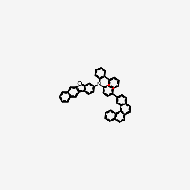 c1ccc(-c2ccccc2N(c2ccc(-c3ccc4ccc5ccc6ccccc6c5c4c3)cc2)c2ccc3c(c2)oc2cc4ccccc4cc23)cc1